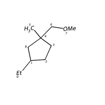 [CH2]CC1C[CH]C(C)(COC)C1